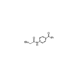 CC(C)C(=O)c1ccc(NC(=O)CC(C)(C)C)cc1